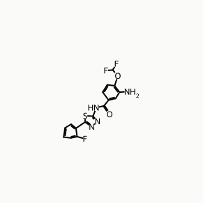 Nc1cc(C(=O)Nc2nnc(-c3ccccc3F)s2)ccc1OC(F)F